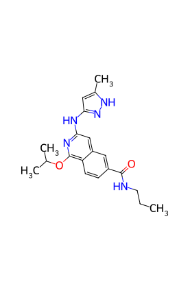 CCCNC(=O)c1ccc2c(OC(C)C)nc(Nc3cc(C)[nH]n3)cc2c1